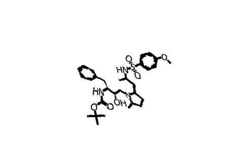 COc1ccc(S(=O)(=O)NC(C)CC2CCC(C)N2C[C@@H](O)[C@H](Cc2ccccc2)NC(=O)OC(C)(C)C)cc1